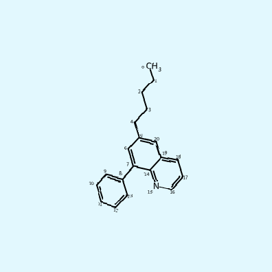 CCCCCc1cc(-c2ccccc2)c2ncccc2c1